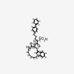 O=C(O)C[C@@H](CCCc1ccc(-c2ccccc2)cc1)C(=O)N[C@H]1Cc2cn(c3ccccc23)CCCCCCNC1=O